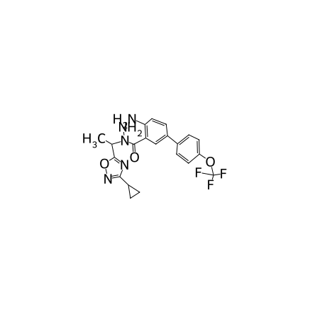 CC(c1nc(C2CC2)no1)N(N)C(=O)c1cc(-c2ccc(OC(F)(F)F)cc2)ccc1N